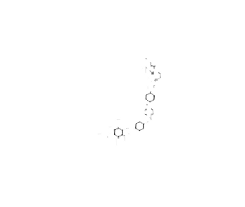 O=[N+]([O-])c1cn2c(n1)O[C@@H](COc1ccc(N3CCN(Cc4ccc(OCc5c(F)c(F)c(C(F)(F)F)c(F)c5F)cc4)CC3)cc1)CC2